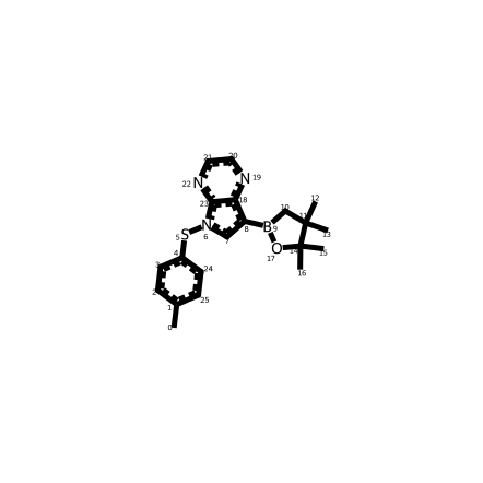 Cc1ccc(Sn2cc(B3CC(C)(C)C(C)(C)O3)c3nccnc32)cc1